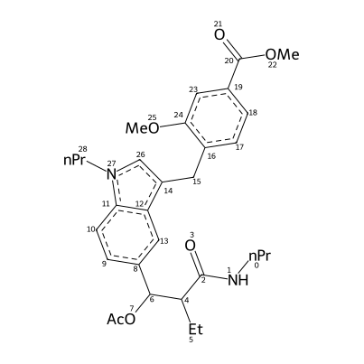 CCCNC(=O)C(CC)C(OC(C)=O)c1ccc2c(c1)c(Cc1ccc(C(=O)OC)cc1OC)cn2CCC